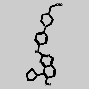 COc1ccc2cnc(Nc3ccc(N4CCN(CC=O)CC4)cc3)nc2c1C1CCCC1